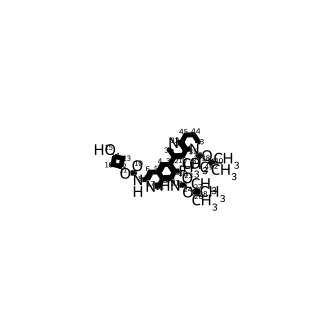 Cc1c(-c2cc3cc(NC(=O)OC4CC(O)C4)ncc3c(NC(=O)OC(C)(C)C)c2F)cnc2c1N(C(=O)OC(C)(C)C)CCC2